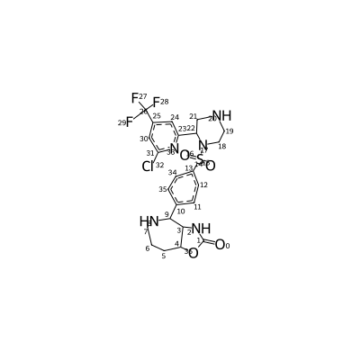 O=C1NC2C(CCCNC2c2ccc(S(=O)(=O)N3CCNCC3c3cc(C(F)(F)F)cc(Cl)n3)cc2)O1